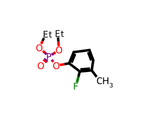 CCOP(=O)(OCC)Oc1cccc(C)c1F